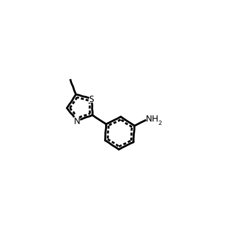 Cc1cnc(-c2cccc(N)c2)s1